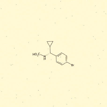 O=C(O)N[C@@H](c1ccc(Br)cc1)C1CC1